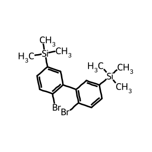 C[Si](C)(C)c1ccc(Br)c(-c2cc([Si](C)(C)C)ccc2Br)c1